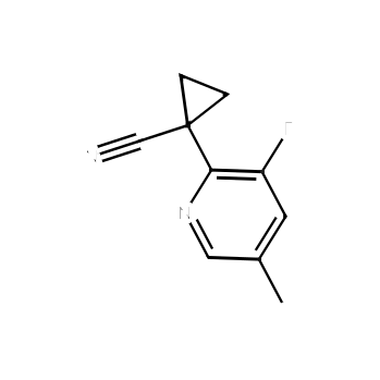 Cc1cnc(C2(C#N)CC2)c(F)c1